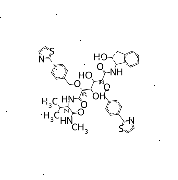 CNC(=O)[C@@H](NC(=O)[C@H](OCc1ccc(-c2nccs2)cc1)C(O)C(O)[C@@H](OCc1ccc(-c2nccs2)cc1)C(=O)NC1c2ccccc2CC1O)C(C)C